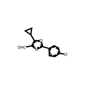 O=Cc1nc(-c2ccc(Cl)cc2)oc1C1CC1